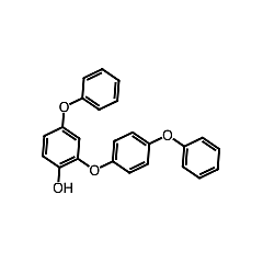 Oc1ccc(Oc2ccccc2)cc1Oc1ccc(Oc2ccccc2)cc1